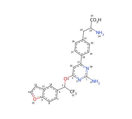 Nc1nc(OC(c2ccc3occc3c2)C(F)(F)F)cc(-c2ccc(CC(N)C(=O)O)cc2)n1